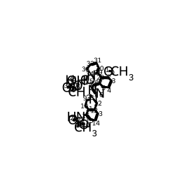 COc1ccc2nc(N3CCc4c(cccc4NS(C)(=O)=O)C3)nc(OC)c2c1-c1ccccn1.CS(=O)(=O)O